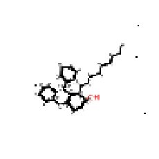 CCCCCCCCCc1c(O)ccc(Cc2ccccc2)c1Cc1ccccc1